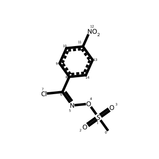 CS(=O)(=O)O/N=C(/Cl)c1ccc([N+](=O)[O-])cc1